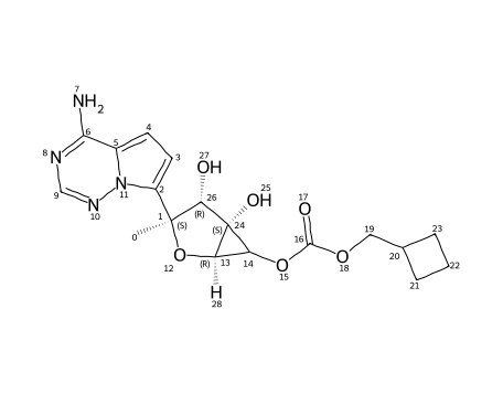 C[C@@]1(c2ccc3c(N)ncnn23)O[C@@H]2C(OC(=O)OCC3CCC3)[C@]2(O)[C@H]1O